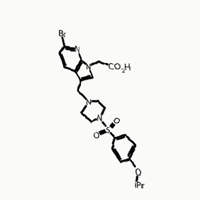 CC(C)Oc1ccc(S(=O)(=O)N2CCN(Cc3cn(CC(=O)O)c4nc(Br)ccc34)CC2)cc1